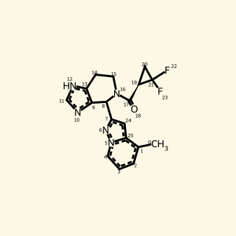 Cc1cccn2nc(C3c4nc[nH]c4CCN3C(=O)[C@H]3CC3(F)F)cc12